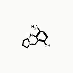 Nc1ccc(O)c(CN2CCCC2)c1N